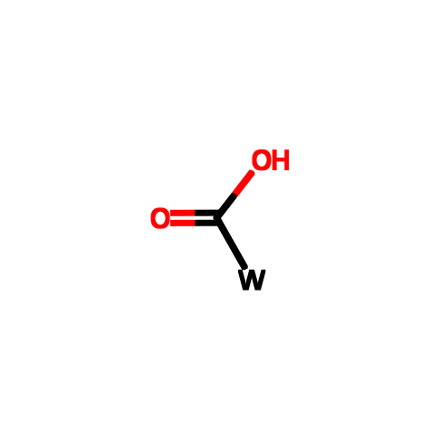 O=[C](O)[W]